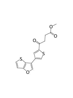 COC(=O)CCC(=O)c1cc(-c2coc3ccsc23)cs1